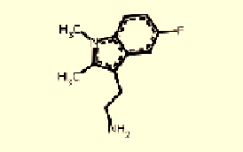 Cc1c(CCN)c2cc(F)ccc2n1C